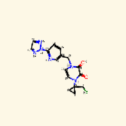 O=c1c(=O)n(C2(CF)CC2)ccn1Cc1ccc(-n2nccn2)nc1